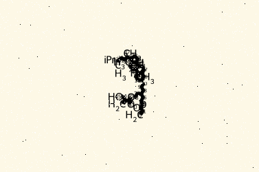 C=CC(=O)OCCC(CCC[C@H]1CC[C@@]2(C)C(=CC[C@@H]3[C@@H]2CC[C@]2(C)C([C@H](C)/C=C/[C@H](C)C(C)C)CC[C@@H]32)C1)CCOC(=O)C(=C)CO